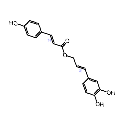 O=C(/C=C/c1ccc(O)cc1)OC/C=C/c1ccc(O)c(O)c1